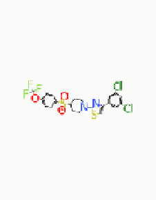 O=S(=O)(c1ccc(OC(F)(F)F)cc1)C1CCN(c2nc(-c3cc(Cl)cc(Cl)c3)cs2)CC1